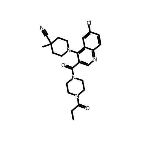 CCC(=O)N1CCN(C(=O)c2cnc3ccc(Cl)cc3c2N2CCC(C)(C#N)CC2)CC1